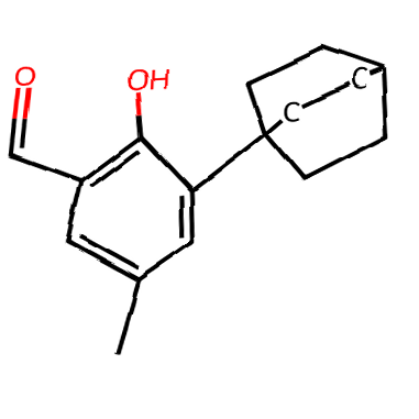 Cc1cc(C=O)c(O)c(C23CCC(CC2)CC3)c1